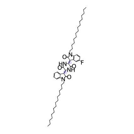 CCCCCCCCCCCCCCCCN1C(=O)/C(=c2\[nH]c(=O)/c(=C3/C(=O)N(CCCCCCCCCCCCCCCC)c4ccc(F)cc43)[nH]c2=O)c2ccccc21